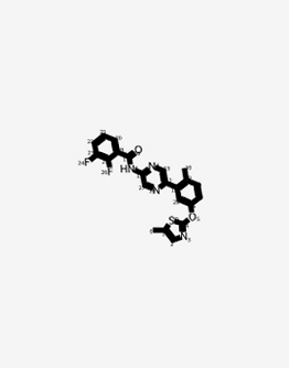 Cc1cnc(Oc2ccc(C)c(-c3cnc(NC(=O)c4cccc(F)c4F)cn3)c2)s1